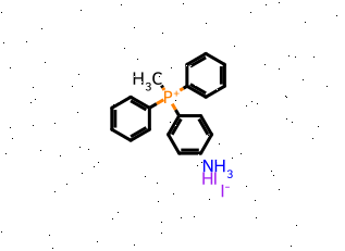 C[P+](c1ccccc1)(c1ccccc1)c1ccccc1.I.N.[I-]